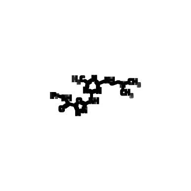 Cc1nc(NCCN(C)C)nc(Nc2nnc(C(=O)NC(C)C)o2)n1